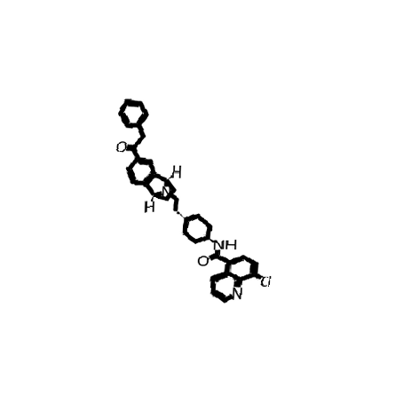 O=C(Cc1ccccc1)c1ccc2c(c1)[C@H]1CC[C@@H]2N1CC[C@H]1CC[C@H](NC(=O)c2ccc(Cl)c3ncccc23)CC1